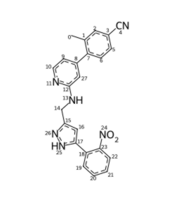 Cc1cc(C#N)ccc1-c1ccnc(NCc2cc(-c3ccccc3[N+](=O)[O-])[nH]n2)c1